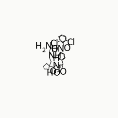 NC(=O)CNCCC1(C(=O)N[C@@H](Cc2ccc(NC(=O)c3c(Cl)cccc3Cl)cc2)C(=O)O)CCCC1